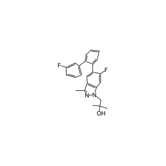 Cc1nn(CC(C)(C)O)c2cc(F)c(-c3ccccc3-c3cccc(F)c3)cc12